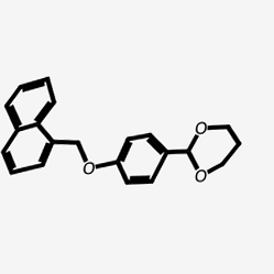 c1ccc2c(COc3ccc(C4OCCCO4)cc3)cccc2c1